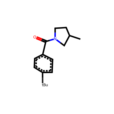 CC1CCN(C(=O)c2ccc(C(C)(C)C)cc2)C1